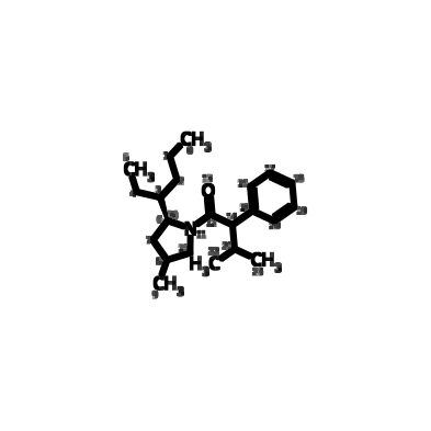 CCCC(CC)[C@@H]1CC(C)CN1C(=O)C(c1ccccc1)C(C)C